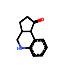 O=C1CCC2CNc3ccccc3C12